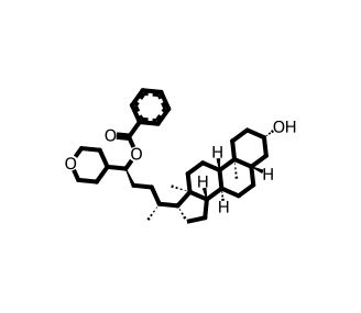 C[C@H](CC[C@H](OC(=O)c1ccccc1)C1CCOCC1)[C@H]1CC[C@H]2[C@@H]3CC[C@H]4C[C@@H](O)CC[C@]4(C)[C@H]3CC[C@]12C